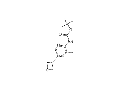 Cc1cc(C2COC2)cnc1NC(=O)OC(C)(C)C